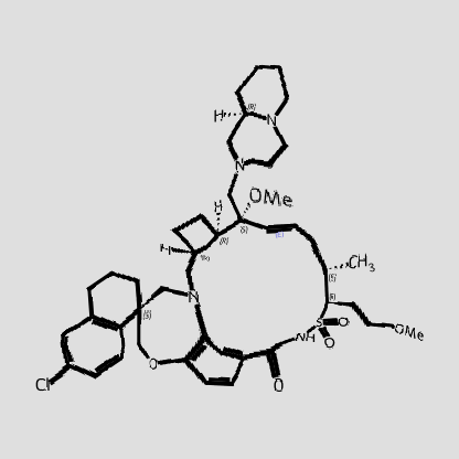 COCC[C@@H]1[C@@H](C)C/C=C/[C@@](CN2CCN3CCCC[C@@H]3C2)(OC)[C@@H]2CC[C@H]2CN2C[C@@]3(CCCc4cc(Cl)ccc43)COc3ccc(cc32)C(=O)NS1(=O)=O